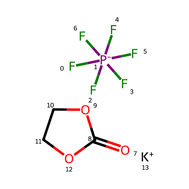 F[P-](F)(F)(F)(F)F.O=C1OCCO1.[K+]